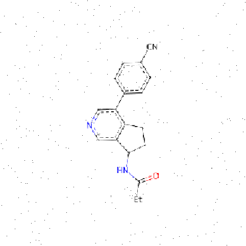 CCC(=O)NC1CCc2c(-c3ccc(C#N)cc3)cncc21